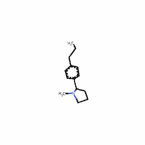 CCCc1ccc(C2CCCN2C)cc1